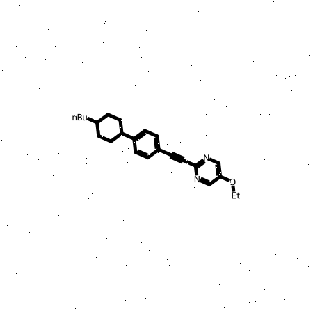 CCCCC1CCC(c2ccc(C#Cc3ncc(OCC)cn3)cc2)CC1